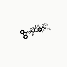 COC(=O)[C@H](Cc1ccc(C(=O)C(C)(C)C)cc1)NC(=O)OCC1c2ccccc2-c2ccccc21